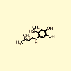 C=[SiH]c1cc(O)c(O)cc1NCCN(C)C